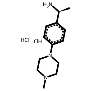 C[C@H](N)c1ccc(N2CCN(C)CC2)cc1.Cl.Cl